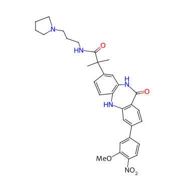 COc1cc(-c2ccc3c(c2)Nc2ccc(C(C)(C)C(=O)NCCCN4CCCC4)cc2NC3=O)ccc1[N+](=O)[O-]